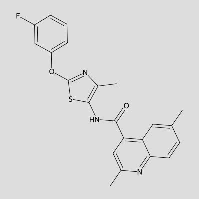 Cc1ccc2nc(C)cc(C(=O)Nc3sc(Oc4cccc(F)c4)nc3C)c2c1